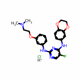 CN(C)CCOc1cccc(Nc2ncc(F)c(Nc3ccc4c(c3)OCCO4)n2)c1.[Cl-].[H+]